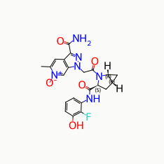 Cc1cc2c(C(N)=O)nn(CC(=O)N3[C@@H]4C[C@@H]4C[C@H]3C(=O)Nc3cccc(O)c3F)c2c[n+]1[O-]